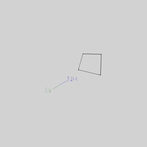 C1CCC1.NBr